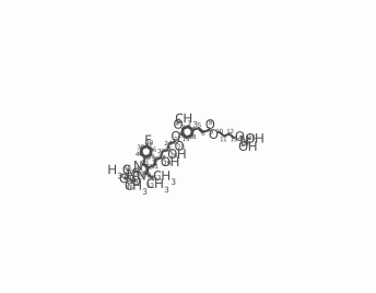 COc1cc(/C=C/C(=O)OCCCCON(O)O)ccc1OC(=O)C[C@H](O)C[C@H](O)/C=C/c1c(-c2ccc(F)cc2)nc(N(C)S(C)(=O)=O)nc1C(C)C